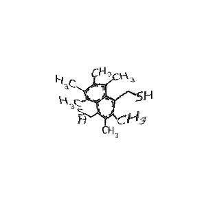 Cc1c(C)c(C)c2c(CS)c(C)c(C)c(CS)c2c1C